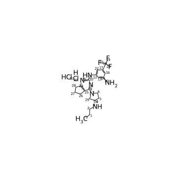 CCCN[C@H]1CCN(c2nc(Nc3cc(N)cc(C(F)(F)F)c3)nc3c2CCC3)C1.Cl.Cl